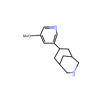 COc1cncc(C2CC3CNCC(C3)C2)c1